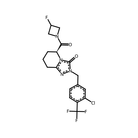 O=C([C@@H]1CCCc2nn(Cc3ccc(C(F)(F)F)c(Cl)c3)c(=O)n21)N1CC(F)C1